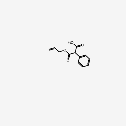 C=CCOC(=O)C(C(=O)O)c1ccccc1